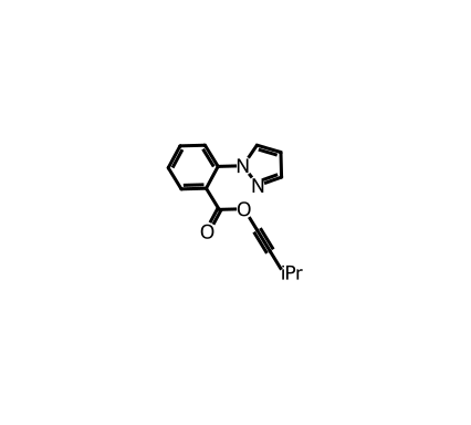 CC(C)C#COC(=O)c1ccccc1-n1cccn1